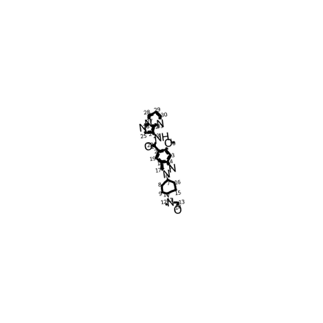 COc1cc2nn([C@H]3CC[C@@H](N(C)C=O)CC3)cc2cc1C(=O)Nc1cnn2cccnc12